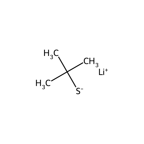 CC(C)(C)[S-].[Li+]